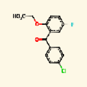 O=C(O)COc1ccc(F)cc1C(=O)c1ccc(Cl)cc1